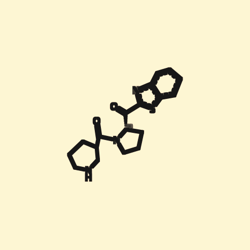 O=C(c1nc2ccccc2s1)[C@@H]1CCCN1C(=O)C1CCCNC1